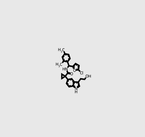 Cc1ccc(C(NC(=O)C2(c3ccc4[nH]cc(CCO)c4c3)CC2)c2ccc(Cl)o2)c(C)c1